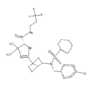 CC1(C)N=C(C23CCC2C(N(Cc2ccc(Cl)cc2)S(=O)(=O)C2CCCCC2)C3)N[C@H]1C(=O)NCCC(F)(F)F